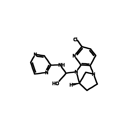 OC(Nc1cnccn1)N1c2nc(Cl)ccc2N2CC[C@H]1C2